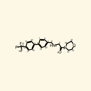 O=C(CNCc1ccc(-c2ccc(C(F)(F)F)cc2)cc1)N1CCOCC1